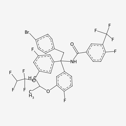 CC(C)Oc1cc(C(Cc2ccc(Br)cc2)(NC(=O)c2ccc(F)c(C(F)(F)F)c2)c2cc(F)cc(OC(F)(F)C(F)F)c2)ccc1F